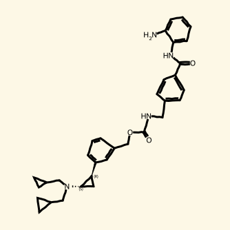 Nc1ccccc1NC(=O)c1ccc(CNC(=O)OCc2cccc([C@H]3C[C@@H]3N(CC3CC3)CC3CC3)c2)cc1